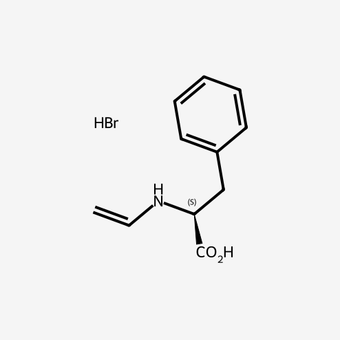 Br.C=CN[C@@H](Cc1ccccc1)C(=O)O